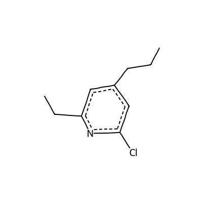 CCCc1cc(Cl)nc(CC)c1